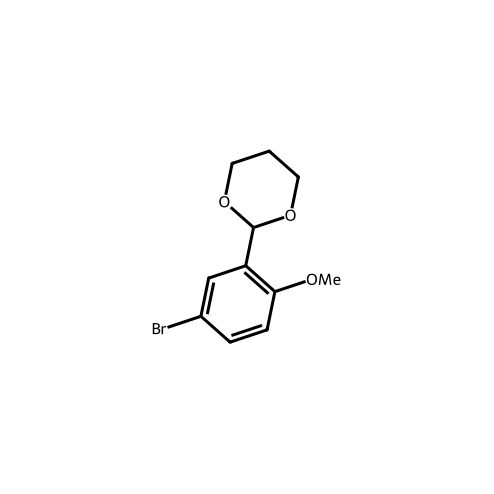 COc1ccc(Br)cc1C1OCCCO1